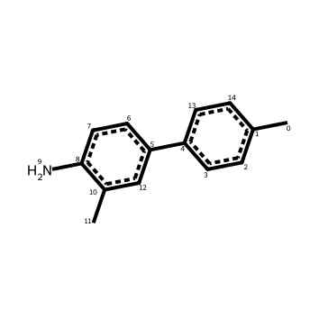 Cc1ccc(-c2ccc(N)c(C)c2)cc1